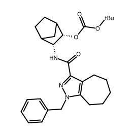 CC(C)(C)OC(=O)O[C@H]1C2CCC(C2)[C@H]1NC(=O)c1nn(Cc2ccccc2)c2c1CCCCC2